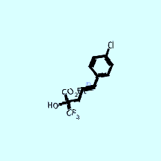 CCOC(=O)C(O)(C/C=C/c1ccc(Cl)cc1)C(F)(F)F